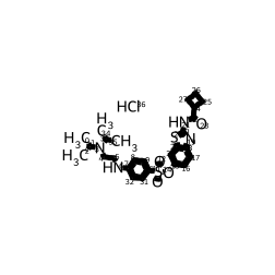 CC(C)N(CCNc1ccc(S(=O)(=O)Oc2ccc3nc(NC(=O)C4CCC4)sc3c2)cc1)C(C)C.Cl